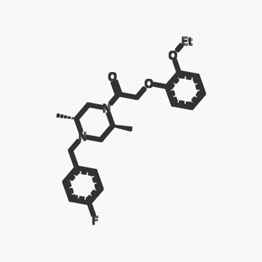 CCOc1ccccc1OCC(=O)N1C[C@@H](C)N(Cc2ccc(F)cc2)C[C@@H]1C